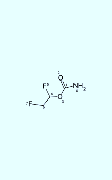 NC(=O)OC(F)CF